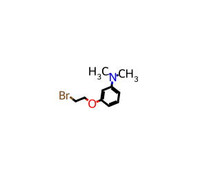 CN(C)c1cccc(OCCBr)c1